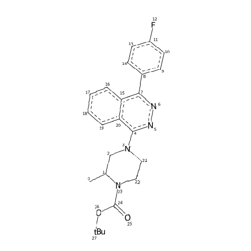 CC1CN(c2nnc(-c3ccc(F)cc3)c3ccccc23)CCN1C(=O)OC(C)(C)C